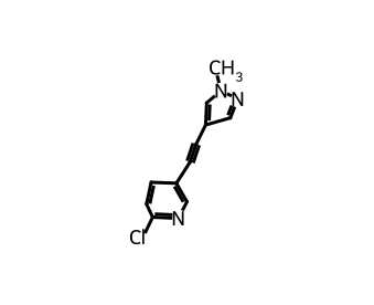 Cn1cc(C#Cc2ccc(Cl)nc2)cn1